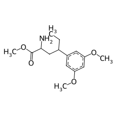 CCC(CC(N)C(=O)OC)c1cc(OC)cc(OC)c1